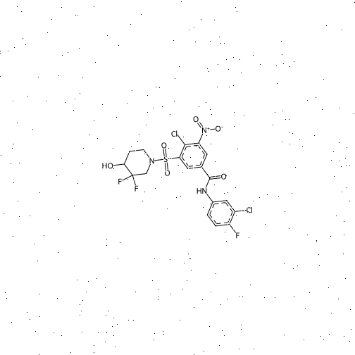 O=C(Nc1ccc(F)c(Cl)c1)c1cc([N+](=O)[O-])c(Cl)c(S(=O)(=O)N2CCC(O)C(F)(F)C2)c1